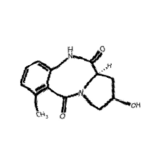 Cc1cccc2c1C(=O)N1C[C@H](O)C[C@@H]1C(=O)N2